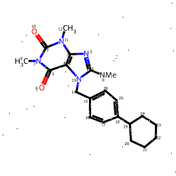 CNc1nc2c(c(=O)n(C)c(=O)n2C)n1Cc1ccc(C2CCCCC2)cc1